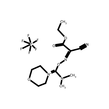 CCOC(=O)C(C#N)=NOC(N(C)C)=[N+]1CCOCC1.F[P-](F)(F)(F)(F)F